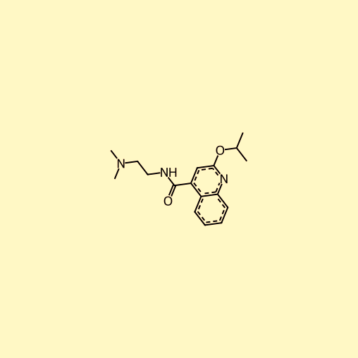 CC(C)Oc1cc(C(=O)NCCN(C)C)c2ccccc2n1